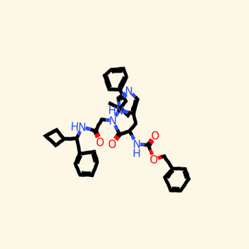 CC(C)(Cc1ccccc1)N(CC(=O)NC(c1ccccc1)C1CCC1)C(=O)C(Cc1cnc[nH]1)NC(=O)OCc1ccccc1